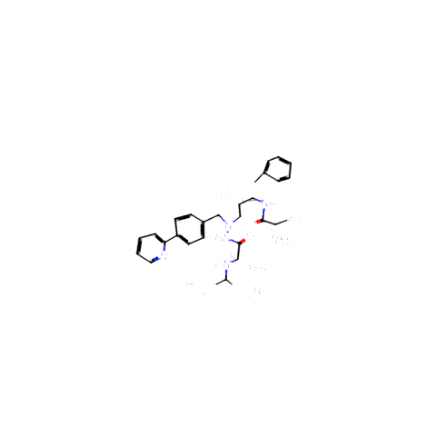 CN[C@H](C(=O)N[C@@H](Cc1ccccc1)[C@@H](O)CN(Cc1ccc(-c2ccccn2)cc1)NC(=O)[C@@H](NC(C(=O)O)C(=O)O)C(C)(C)C)C(C)(C)C